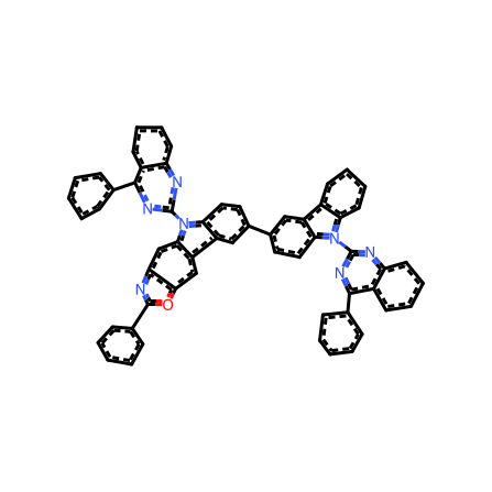 c1ccc(-c2nc3cc4c(cc3o2)c2cc(-c3ccc5c(c3)c3ccccc3n5-c3nc(-c5ccccc5)c5ccccc5n3)ccc2n4-c2nc(-c3ccccc3)c3ccccc3n2)cc1